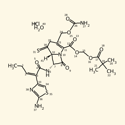 CC/C=C(\C(=O)N[C@H]1C(=O)N2C(C(=O)OCOC(=O)C(C)(C)C)=C(COC(N)=O)CC(=S)[C@@H]12)c1csc(N)n1.Cl.O